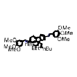 CCCCC(CC)CC1(CC(CC)CCCC)c2cc(/C=C/c3cc(OC)c(OC)c(OC)c3)ccc2-c2ccc(/C=C/c3cc(OC)c(OC)c(OC)c3)cc21